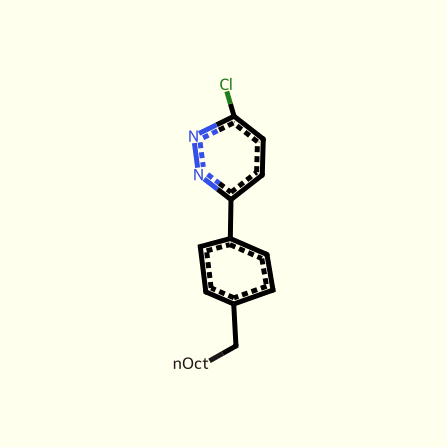 CCCCCCCCCc1ccc(-c2ccc(Cl)nn2)cc1